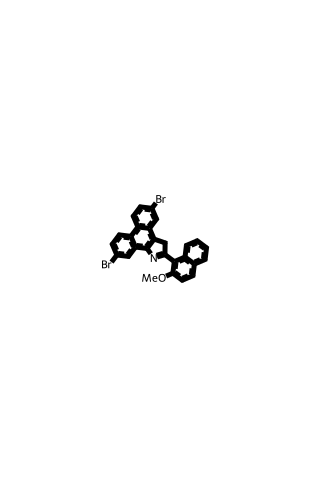 COc1ccc2ccccc2c1C1=Nc2c(c3cc(Br)ccc3c3ccc(Br)cc23)C1